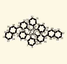 c1ccc([Si]2(c3ccccc3)N(c3cccc(-c4ccc5ccccc5c4)n3)[Si](c3ccccc3)(c3ccccc3)N2c2cccc(-c3ccc4ccccc4c3)n2)cc1